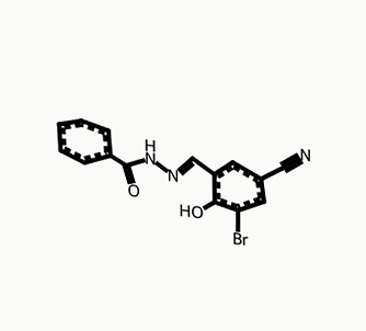 N#Cc1cc(Br)c(O)c(/C=N/NC(=O)c2ccccc2)c1